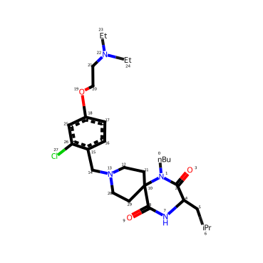 CCCCN1C(=O)C(CC(C)C)NC(=O)C12CCN(Cc1ccc(OCCN(CC)CC)cc1Cl)CC2